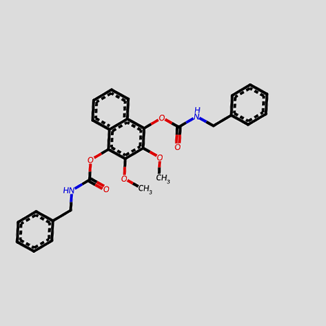 COc1c(OC)c(OC(=O)NCc2ccccc2)c2ccccc2c1OC(=O)NCc1ccccc1